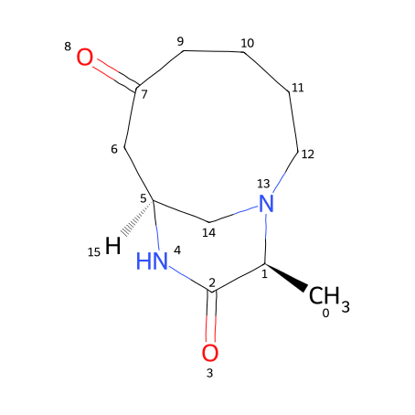 C[C@H]1C(=O)N[C@H]2CC(=O)CCCCN1C2